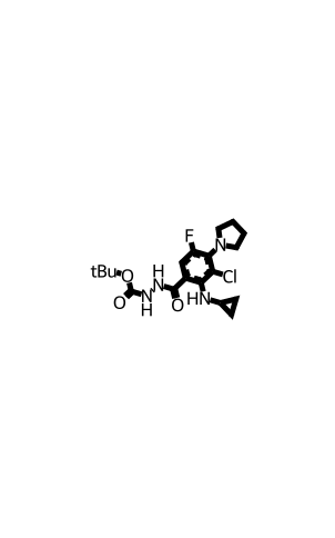 CC(C)(C)OC(=O)NNC(=O)c1cc(F)c(N2CCCC2)c(Cl)c1NC1CC1